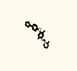 Cc1cc(Oc2ccc(C3CCCC3)cc2)c(C)cc1/N=C/N1CCCCC1C